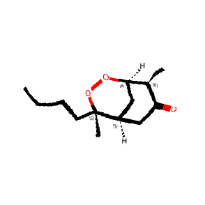 CCCC[C@]1(C)OO[C@@H]2C[C@H]1CC(=O)[C@@H]2C